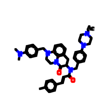 CC(=O)N1CCN(c2ccc(CN(C(=O)C=Cc3ccc(C)cc3)C(Cc3ccccc3)C(=O)N3CCN(Cc4ccc(N(C)C)cc4)CC3)cc2)CC1